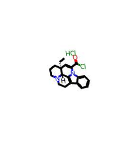 CC[C@@]12C=C(C(=O)Cl)n3c4c(c5ccccc53)CCN(CCC1)[C@@H]42.Cl